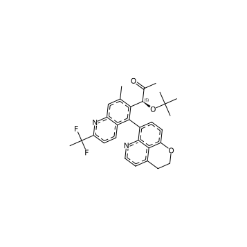 CC(=O)[C@@H](OC(C)(C)C)c1c(C)cc2nc(C(C)(F)F)ccc2c1-c1ccc2c3c(ccnc13)CCO2